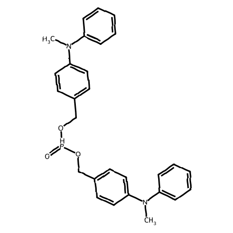 CN(c1ccccc1)c1ccc(CO[PH](=O)OCc2ccc(N(C)c3ccccc3)cc2)cc1